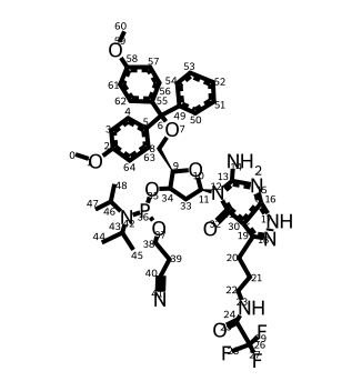 COc1ccc(C(OC[C@H]2O[C@@H](n3c(N)nc4[nH]nc(CCCNC(=O)C(F)(F)F)c4c3=O)CC2OP(OCCC#N)N(C(C)C)C(C)C)(c2ccccc2)c2ccc(OC)cc2)cc1